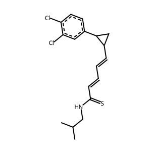 CC(C)CNC(=S)C=CC=CC1CC1c1ccc(Cl)c(Cl)c1